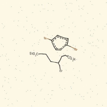 Brc1ccc(Br)cc1.CCOC(=O)CCC(CC)CC(=O)O